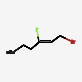 CCCCCCC(F)=CCBr